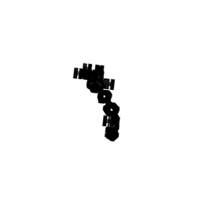 NC[C@H](NC(=O)c1ccc(-c2ccc(CNCc3cccs3)cc2)cc1)C(=O)NO